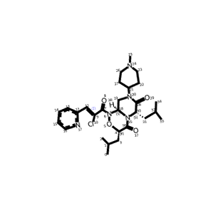 CC(C)C[C@H]1ON(C(=O)/C(Cl)=C/c2ccccn2)[C@H]2CN(C3CCN(C)CC3)C(=O)[C@H](CC(C)C)N2C1=O